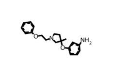 CC1(Oc2cccc(N)c2)CCN(CCOc2ccccc2)C1